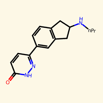 CCCNC1Cc2ccc(-c3ccc(=O)[nH]n3)cc2C1